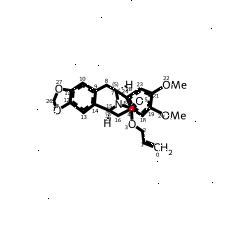 C=CCOC(=O)N1[C@H]2Cc3cc4c(cc3[C@@H]1Cc1cc(OC)c(OC)cc12)OCO4